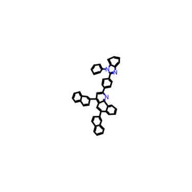 c1ccc(-n2c(-c3ccc(-c4cc(-c5ccc6ccccc6c5)c5cc(-c6ccc7ccccc7c6)c6ccccc6c5n4)cc3)nc3ccccc32)cc1